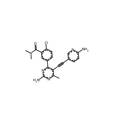 Cc1nc(N)nc(-c2ccc(Cl)c(C(=O)N(C)C)c2)c1C#Cc1ccc(N)nc1